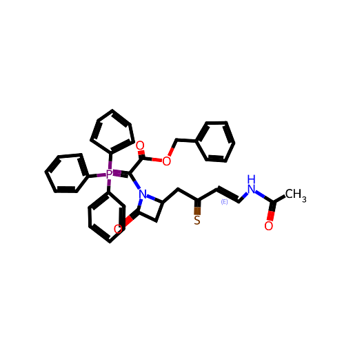 CC(=O)N/C=C/C(=S)CC1CC(=O)N1C(C(=O)OCc1ccccc1)=P(c1ccccc1)(c1ccccc1)c1ccccc1